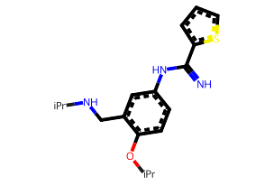 CC(C)NCc1cc(NC(=N)c2cccs2)ccc1OC(C)C